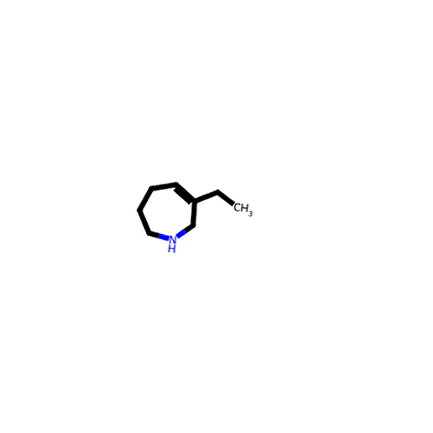 CCC1=CCCCNC1